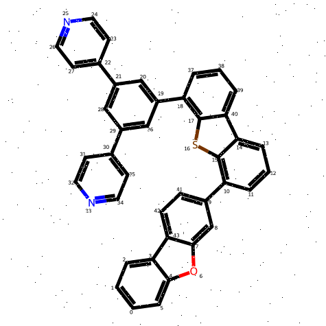 c1ccc2c(c1)oc1cc(-c3cccc4c3sc3c(-c5cc(-c6ccncc6)cc(-c6ccncc6)c5)cccc34)ccc12